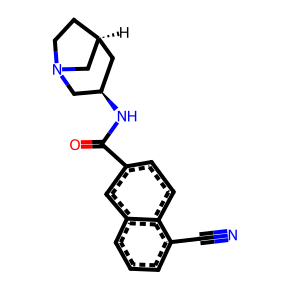 N#Cc1cccc2cc(C(=O)N[C@@H]3C[C@@H]4CCN(C4)C3)ccc12